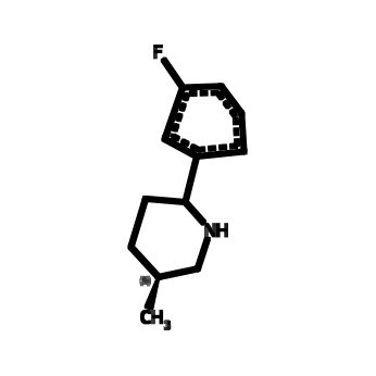 C[C@H]1CCC(c2cccc(F)c2)NC1